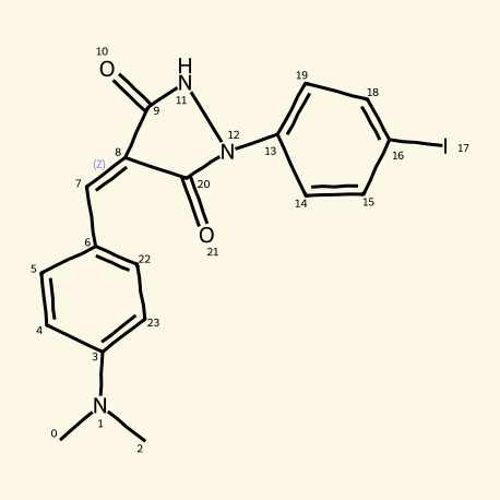 CN(C)c1ccc(/C=C2/C(=O)NN(c3ccc(I)cc3)C2=O)cc1